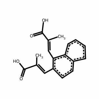 CC(=Cc1ccc2ccccc2c1C=C(C)C(=O)O)C(=O)O